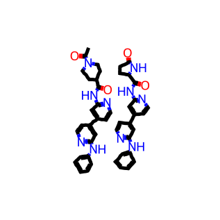 CC(=O)N1CCC(C(=O)Nc2cc(-c3ccnc(Nc4ccccc4)c3)ccn2)CC1.O=C1CCC(C(=O)Nc2cc(-c3ccnc(Nc4ccccc4)c3)ccn2)N1